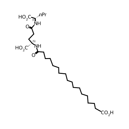 CCC[C@H](NC(=O)CC[C@H](NC(=O)CCCCCCCCCCCCCCCCC(=O)O)C(=O)O)C(=O)O